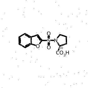 O=C(O)[C@@H]1CCCN1S(=O)(=O)c1cc2ccccc2o1